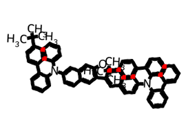 CC(C)(C)c1ccc(-c2ccccc2N(c2ccccc2)c2ccc3cc4c(cc3c2)oc2cc3cc(N(c5ccccc5-c5ccccc5)c5ccccc5-c5ccc(C(C)(C)C)cc5)ccc3cc24)cc1